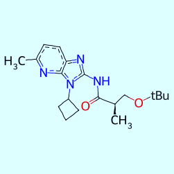 Cc1ccc2nc(NC(=O)[C@H](C)COC(C)(C)C)n(C3CCC3)c2n1